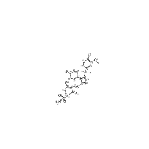 COc1cc(C(C)(C)c2nnc(SCc3c(F)cc(S(N)(=O)=O)cc3F)n2-c2ccc(F)cc2)ccc1Cl